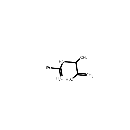 C=C(NC(C)C(=C)C)C(C)C